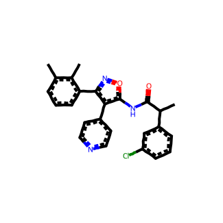 Cc1cccc(-c2noc(NC(=O)C(C)c3cccc(Cl)c3)c2-c2ccncc2)c1C